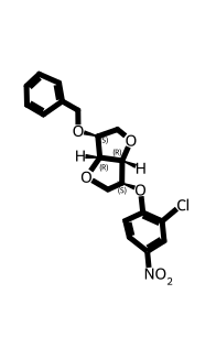 O=[N+]([O-])c1ccc(O[C@H]2CO[C@H]3[C@@H]2OC[C@@H]3OCc2ccccc2)c(Cl)c1